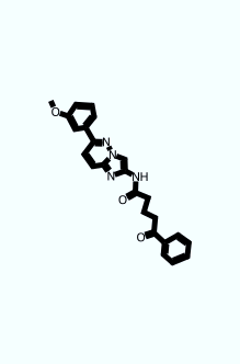 COc1cccc(-c2ccc3nc(NC(=O)CCCC(=O)c4ccccc4)cn3n2)c1